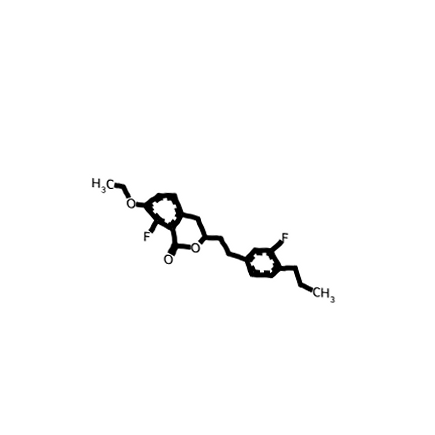 CCCc1ccc(CCC2Cc3ccc(OCC)c(F)c3C(=O)O2)cc1F